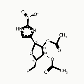 CC(=O)O[C@H]1[C@H](OC(C)=O)[C@H](c2c[nH]c([N+](=O)[O-])n2)O[C@@H]1CF